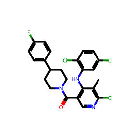 Cc1c(Cl)ncc(C(=O)N2CCC(c3ccc(F)cc3)CC2)c1Nc1cc(Cl)ccc1Cl